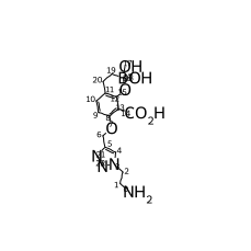 NCCn1cc(COc2ccc3c(c2C(=O)O)O[B-](O)(O)CC3)nn1